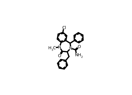 CN1C(=O)C(Cc2ccccc2)N(C(N)=O)C(c2ccccc2)c2cc(Cl)ccc21